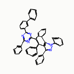 c1ccc(-c2cccc(-c3nc(-c4ccccc4)nc(-c4c(-c5ccccc5)c5c(-c6ccccc6)nn(-c6ccccc6)c5c5ccccc45)n3)c2)cc1